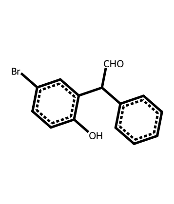 O=CC(c1ccccc1)c1cc(Br)ccc1O